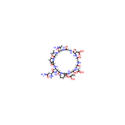 CN[C@@H](CC(N)=O)C(=O)NC1C(=O)N2CCCC[C@@H]2C(=O)N[C@@H](C(C)C(=O)O)C(=O)N[C@@H](CC(=O)O)C(=O)NCC(=O)NC(CC(=O)O)C(=O)NCC(=O)N[C@H](C(C)N)C(=O)N[C@@H](C(C)C)C(=O)N2CCC[C@H]2C(=O)N[C@@H]1C